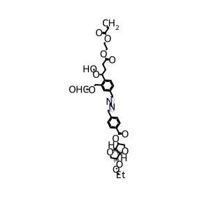 C=CC(=O)OCCOC(=O)CCC(OO)c1ccc(/C=N/N=C/c2ccc(C(=O)OC3CO[C@H]4[C@@H]3OC[C@H]4OOCC)cc2)cc1COC=O